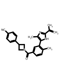 C=C(C)c1nc(C)c(-c2cc(C(=O)N3CC(c4ccc(C#N)cc4)C3)ccc2C)[nH]1